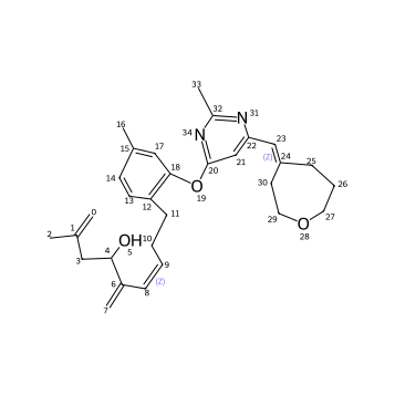 C=C(C)CC(O)C(=C)/C=C\CCc1ccc(C)cc1Oc1cc(/C=C2/CCCOCC2)nc(C)n1